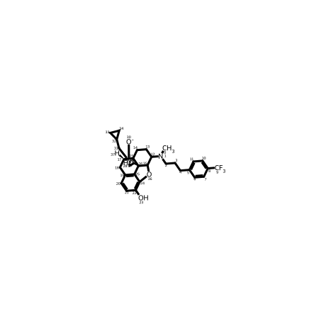 CN(CCCc1ccc(C(F)(F)F)cc1)C1CC[C@@]2(O)[C@H]3Cc4ccc(O)c5c4[C@@]2(CC[N+]3([O-])CC2CC2)C1O5